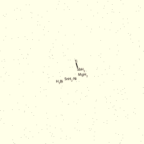 [BiH3].[MgH2].[Ni].[SnH2].[Ti][SbH2]